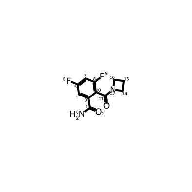 NC(=O)c1cc(F)cc(F)c1C(=O)N1CCC1